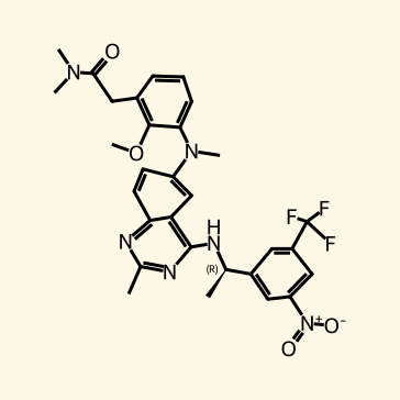 COc1c(CC(=O)N(C)C)cccc1N(C)c1ccc2nc(C)nc(N[C@H](C)c3cc([N+](=O)[O-])cc(C(F)(F)F)c3)c2c1